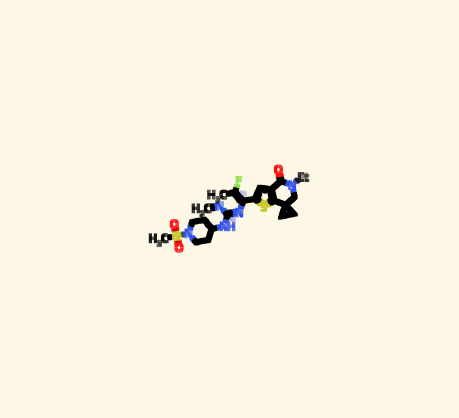 C=N/C(=N\C(=C(/C)F)c1cc2c(s1)C1(CC1)CN(CC)C2=O)NC1CCN(S(C)(=O)=O)CC1